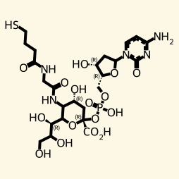 Nc1ccn(C2C[C@@H](O)[C@@H](COP(=O)(O)O[C@@]3(C(=O)O)C[C@@H](O)C(NC(=O)CNC(=O)CCCS)C([C@H](O)C(O)CO)O3)O2)c(=O)n1